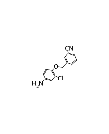 N#Cc1cc[c]c(COc2ccc(N)cc2Cl)c1